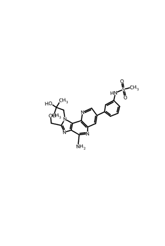 CC(C)(O)Cn1c(CO)nc2c(N)nc3cc(-c4cccc(NS(C)(=O)=O)c4)cnc3c21